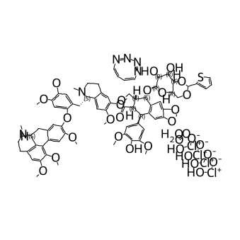 C1=CN=NN=NC=C1.COc1cc(C[C@H]2c3cc(OC)c(OC)cc3CCN2C)c(Oc2cc3c(cc2OC)-c2c(OC)c(OC)cc4c2[C@H](C3)N(C)CC4)cc1OC.COc1cc([C@@H]2c3cc4c(cc3[C@@H](O[C@@H]3O[C@@H]5COC(c6cccs6)O[C@H]5[C@H](O)[C@H]3O)[C@H]3COC(=O)[C@H]23)OCO4)cc(OC)c1O.O.O=O.[O-][Cl+]O.[O-][Cl+]O.[O-][Cl+]O.[O-][Cl+]O